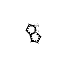 [c]1cc2cccn2[nH]1